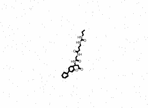 CCCNC(=O)NCCCC(=O)NCC(=O)NC(CC(=O)O)c1ccc(-c2ccccc2)cc1